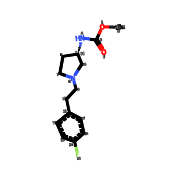 CC(C)(C)OC(=O)N[C@H]1CCN(CCc2ccc(F)cc2)C1